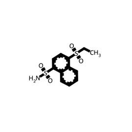 CCS(=O)(=O)c1ccc(S(N)(=O)=O)c2ccccc12